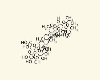 C/C=C(/C)C(=O)OC1[C@@H](OC(=O)/C(C)=C\C)C(C)O[C@@H](O[C@H]2[C@H](O)[C@@]3(COC(C)=O)C(CC2(C)C)C2=CCC4[C@@]5(C)CC[C@H](O[C@@H]6OC(C(=O)O)[C@@H](O)C(OC7O[C@@H](CO)[C@@H](O)C7O)[C@@H]6O[C@@H]6OC(CO)[C@H](O)C(O)[C@@H]6O)C(C)(C)C5CC[C@@]4(C)[C@]2(C)C[C@H]3O)[C@H]1O